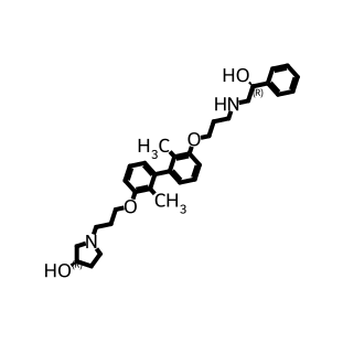 Cc1c(OCCCNC[C@H](O)c2ccccc2)cccc1-c1cccc(OCCCN2CC[C@@H](O)C2)c1C